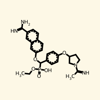 CCOP(=O)(O)C(Oc1ccc2ccc(C(=N)N)cc2c1)c1ccc(OC2CCN(C(C)=N)C2)cc1